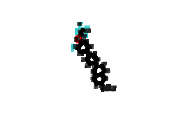 CCCCC1CCC2CC(c3ccc(-c4ccc(OC(F)(F)C(F)F)c(F)c4)cc3)CCC2C1